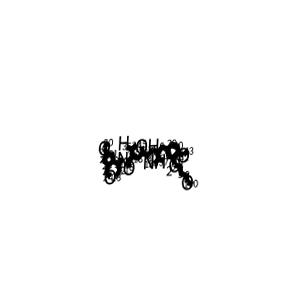 COCCCOc1cc(CC(C[C@H](N)C(O)CC(C(=O)NC2CCOCC3CC(OC)CC32)C(C)C)C(C)C)ccc1OC